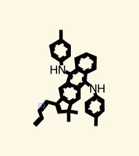 C=C/C=C\C1=CC(C)(C)c2cc3c(Nc4ccc(C)cc4)c4ccccc4c(Nc4ccc(C)cc4)c3cc21